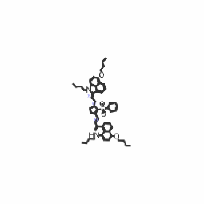 C=C(/C=C/C1=C(S(=O)(=O)c2ccccc2)C(=C/C=c2\c3cccc4c(OCCCC)ccc(c43)n2CCCC)/CC1)c1cccc2c(OCCCC)ccc(NCCCC)c12